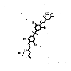 C=CCC(COc1c(Br)cc(C(C)(C)c2cc(Br)c(OCC(CC=C)OC(=O)O)c(Br)c2)cc1Br)OC(=O)O